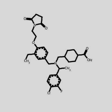 CCc1cc(CN(CC2CCC(C(=O)O)CC2)C(C)c2ccc(Cl)c(F)c2)ccc1OCCN1C(=O)CCC1=O